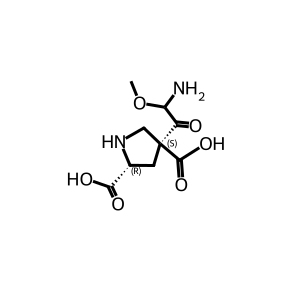 COC(N)C(=O)[C@@]1(C(=O)O)CN[C@@H](C(=O)O)C1